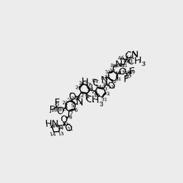 Cc1c(-c2nc3cc(COC(=O)[C@@H]4CCCN4)c(OC(F)F)cc3o2)cccc1-c1cccc(-c2nc3cc(CN4CC(C)(C#N)C4)c(OC(F)F)cc3o2)c1C